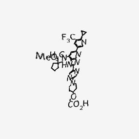 COCC1(CN(C)c2cc(-c3cnc(C4CC4)c(C(F)(F)F)c3)nc3nc(-c4cnc(N5CCC(OCC(=O)O)CC5)cn4)[nH]c23)CCCC1